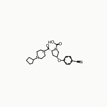 N#Cc1ccc(O[C@H]2C[C@H](C(=O)N3CCN(C4CCCC4)CC3)N(C(=O)O)C2)cc1